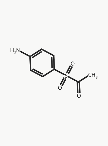 CC(=O)S(=O)(=O)c1ccc(N)cc1